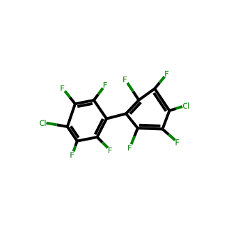 Fc1c(F)c(-c2c(F)c(F)c(Cl)c(F)c2F)c(F)c(F)c1Cl